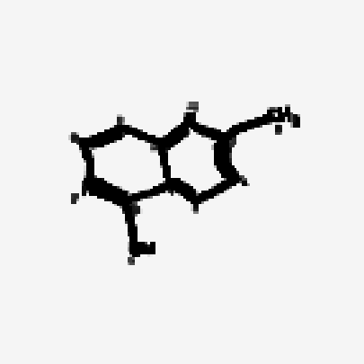 Cc1ccc2c(C(C)(C)C)nccc2n1